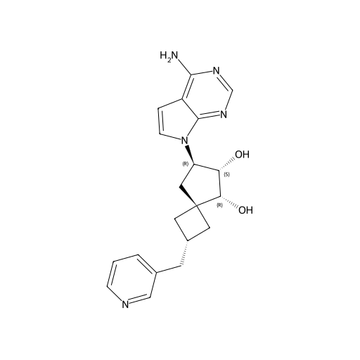 Nc1ncnc2c1ccn2[C@@H]1C[C@]2(C[C@H](Cc3cccnc3)C2)[C@@H](O)[C@H]1O